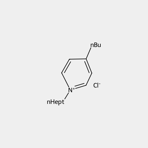 CCCCCCC[n+]1ccc(CCCC)cc1.[Cl-]